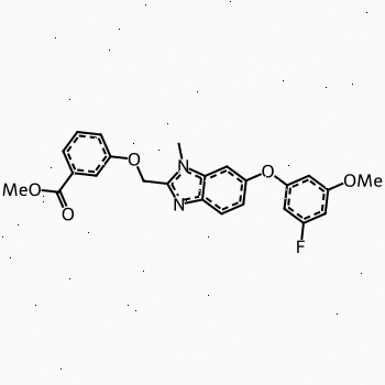 COC(=O)c1cccc(OCc2nc3ccc(Oc4cc(F)cc(OC)c4)cc3n2C)c1